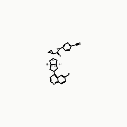 N#Cc1ccc(NC(=O)C2([C@@H]3C[C@H]4C[C@@H](c5ccnc6ccc(F)cc56)C[C@H]4C3)CC2)cn1